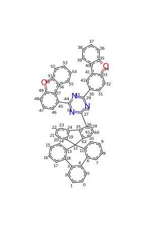 c1ccc2c(c1)-c1ccccc1C1(c3ccccc3-2)c2ccccc2-c2c(-c3nc(-c4ccc5oc6ccccc6c5c4)nc(-c4cccc5oc6ccccc6c45)n3)cccc21